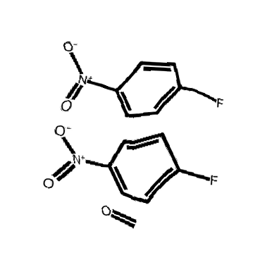 C=O.O=[N+]([O-])c1ccc(F)cc1.O=[N+]([O-])c1ccc(F)cc1